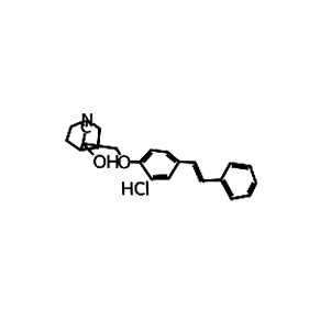 Cl.OC1(COc2ccc(/C=C/c3ccccc3)cc2)CN2CCC1CC2